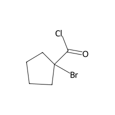 O=C(Cl)C1(Br)CCCC1